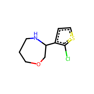 Clc1sccc1C1COCCCN1